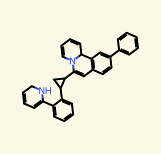 C1=CCNC(c2ccccc2C2CC2C2=Cc3ccc(-c4ccccc4)cc3C3C=CC=CN23)=C1